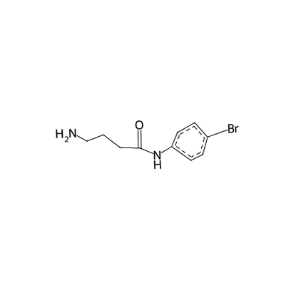 NCCCC(=O)Nc1ccc(Br)cc1